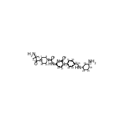 CC(C)(N)C(=O)N1CCN(C(=O)Nc2ccn(-c3ccc(CN[C@H]4CCC[C@@H](N)C4)cc3)c(=O)n2)CC1